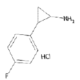 Cl.NC1CC1c1ccc(F)cc1